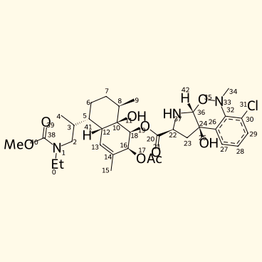 CCN(CC(C)[C@@H]1CC[C@@H](C)[C@@]2(O)[C@@H]1C=C(C)[C@H](OC(C)=O)[C@@H]2OC(=O)[C@@H]1C[C@@]2(O)c3cccc(Cl)c3N(C)O[C@H]2N1)C(=O)OC